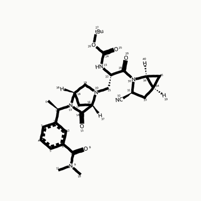 C[C@H](c1cccc(C(=O)N(C)C)c1)N1C(=O)[C@@H]2C[C@H]1CN2C[C@H](NC(=O)OC(C)(C)C)C(=O)N1[C@H](C#N)C[C@@H]2C[C@@H]21